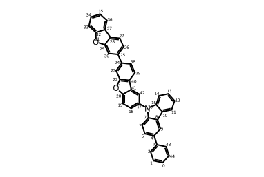 c1ccc(-c2ccc3c(c2)c2ccccc2n3-c2ccc3oc4cc(-c5ccc6c(c5)oc5ccccc56)ccc4c3c2)cc1